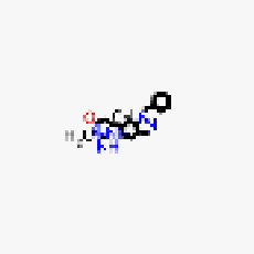 CN1C(=N)N[C@](C)(c2ccc3cnn(Cc4ccccc4)c3c2)CC1=O